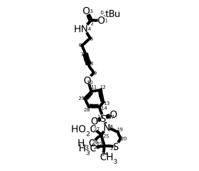 CC(C)(C)OC(=O)NCCC#CCOc1ccc(S(=O)(=O)N2CCSC(C)(C)C2(C)C(=O)O)cc1